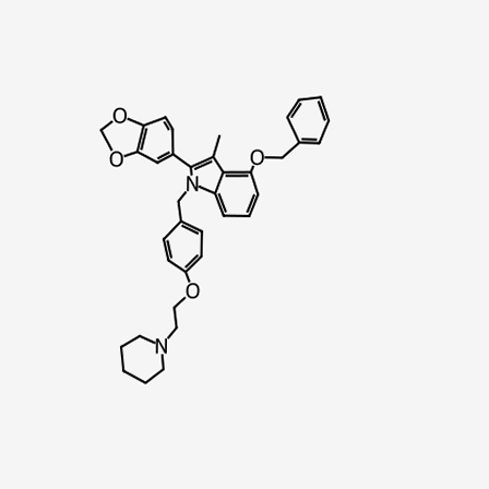 Cc1c(-c2ccc3c(c2)OCO3)n(Cc2ccc(OCCN3CCCCC3)cc2)c2cccc(OCc3ccccc3)c12